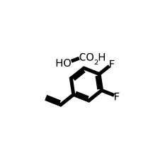 C=Cc1ccc(F)c(F)c1.O=C(O)O